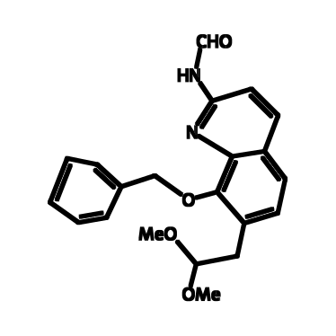 COC(Cc1ccc2ccc(NC=O)nc2c1OCc1ccccc1)OC